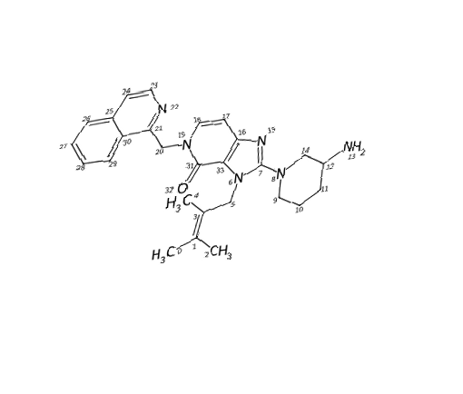 CC(C)=C(C)Cn1c(N2CCCC(N)C2)nc2ccn(Cc3nccc4ccccc34)c(=O)c21